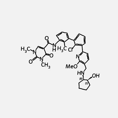 COc1nc(-c2cccc(-c3cccc(NC(=O)c4cn(C)c(=O)n(C)c4=O)c3C)c2Cl)ccc1CN[C@@H]1CCCC[C@@H]1O